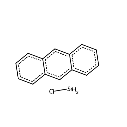 [SiH3]Cl.c1ccc2cc3ccccc3cc2c1